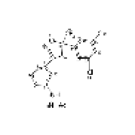 CC(=O)NNc1cccc(C2=NOC(c3cc(Cl)cc(Cl)c3)(C(F)(F)F)C2)c1